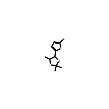 [CH2]C1OC(C)(C)OC1c1ccc(Cl)s1